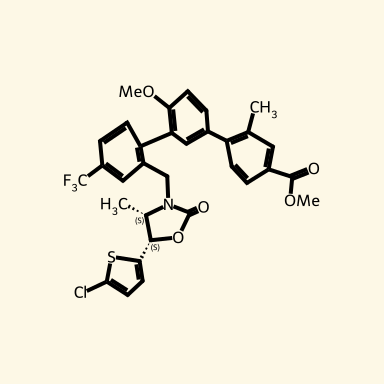 COC(=O)c1ccc(-c2ccc(OC)c(-c3ccc(C(F)(F)F)cc3CN3C(=O)O[C@H](c4ccc(Cl)s4)[C@@H]3C)c2)c(C)c1